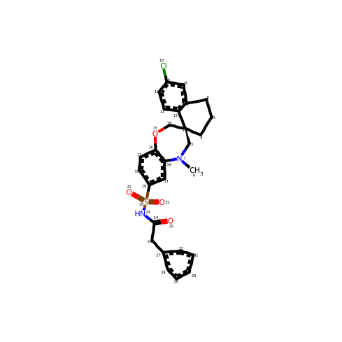 CN1C[C@@]2(CCCc3cc(Cl)ccc32)COc2ccc(S(=O)(=O)NC(=O)Cc3ccccc3)cc21